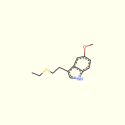 CCSCCc1c[nH]c2ccc(OC)cc12